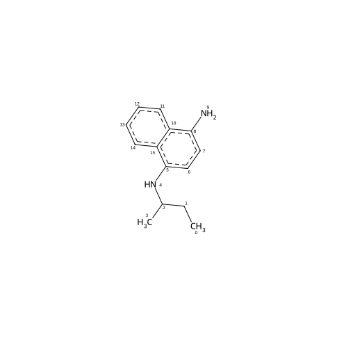 CCC(C)Nc1ccc(N)c2ccccc12